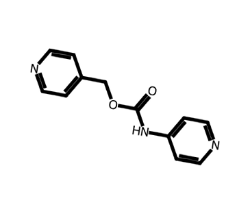 O=C(Nc1ccncc1)OCc1ccncc1